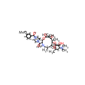 CCCN1C[C@H](C)C[C@@](C)(OC)[C@H](O[C@@H]2O[C@H](C)C[C@H](N(C)C)[C@H]2O)[C@@H](C)C(=O)C(C)(C)C(=O)O[C@@H](C)[C@@H]1C(=O)N1CCN(C(=O)c2cccc(OC)c2)CC1